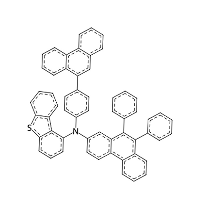 c1ccc(-c2c(-c3ccccc3)c3cc(N(c4ccc(-c5cc6ccccc6c6ccccc56)cc4)c4cccc5sc6ccccc6c45)ccc3c3ccccc23)cc1